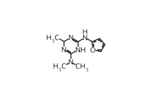 CC1N=C(Nc2ccco2)NC(N(C)C)=N1